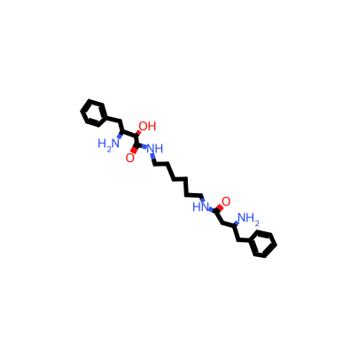 NC(CC(=O)NCCCCCCNC(=O)C(O)C(N)Cc1ccccc1)Cc1ccccc1